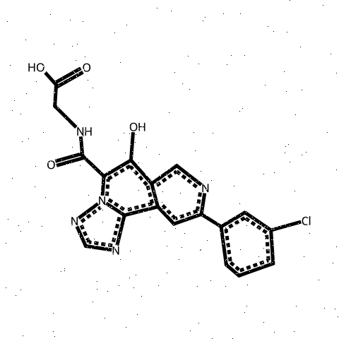 O=C(O)CNC(=O)c1c(O)c2cnc(-c3cccc(Cl)c3)cc2c2ncnn12